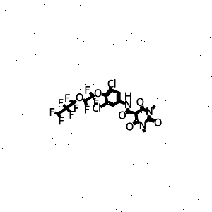 CN1C(=O)C(C(=O)Nc2cc(Cl)c(OC(F)(F)C(F)OC(F)(F)C(F)(F)C(F)F)c(Cl)c2)C(=O)N(C)C1=O